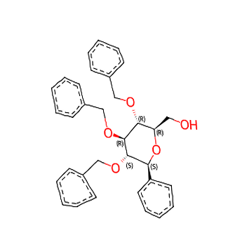 OC[C@H]1O[C@@H](c2ccccc2)[C@H](OCc2ccccc2)[C@@H](OCc2ccccc2)[C@@H]1OCc1ccccc1